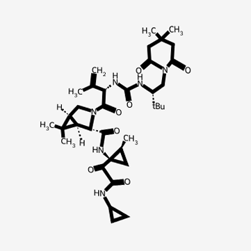 C=C(C)[C@H](NC(=O)N[C@H](CN1C(=O)CC(C)(C)CC1=O)C(C)(C)C)C(=O)N1C[C@H]2[C@@H]([C@H]1C(=O)N[C@]1(C(=O)C(=O)NC3CC3)C[C@@H]1C)C2(C)C